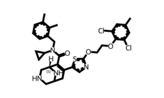 Cc1cc(Cl)c(OCCOc2ncc(C3=C(C(=O)N(Cc4cccc(C)c4C)C4CC4)[C@H]4CNCC(C3)N4)s2)c(Cl)c1